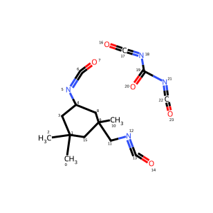 CC1(C)CC(N=C=O)CC(C)(CN=C=O)C1.O=C=NC(=O)N=C=O